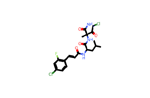 CC(C)CC(NC(=O)/C=C/c1ccc(Cl)cc1F)C(=O)NC(C)(C(N)=O)C(=O)CCl